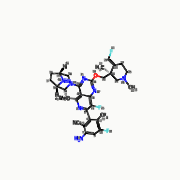 COc1nc(-c2c(C#N)c(N)cc(F)c2C(F)(F)F)c(F)c2nc(OC[C@]3(C)CN(C)CC/C3=C\F)nc(N3C[C@H]4CC[C@@H](C3)N4)c12